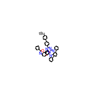 CC(C)(C)c1ccc(-c2ccc(-c3nc(-c4cccc5nc(-c6ccccc6)oc45)nc(-n4c5ccccc5c5ccc6c7ccccc7n(-c7ccccc7)c6c54)n3)cc2)cc1